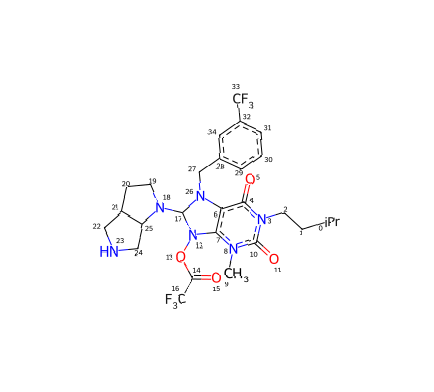 CC(C)CCn1c(=O)c2c(n(C)c1=O)N(OC(=O)C(F)(F)F)C(N1CCC3CNCC31)N2Cc1cccc(C(F)(F)F)c1